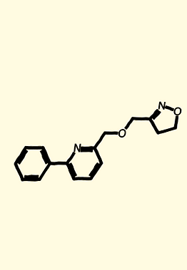 c1ccc(-c2cccc(COCC3=NOCC3)n2)cc1